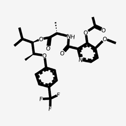 COc1ccnc(C(=O)N[C@@H](C)C(=O)O[C@H](C(C)C)[C@H](C)Oc2ccc(C(F)(F)F)cc2)c1OC(C)=O